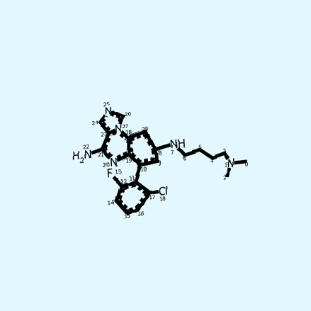 CN(C)CCCCNc1cc(-c2c(F)cccc2Cl)c2nc(N)c3cncn3c2c1